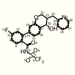 O=C(NS(=O)(=O)C(F)(F)F)c1ccc(F)cc1-c1ccc2c(c1)OCC(Cc1ccccn1)[C@H]2O